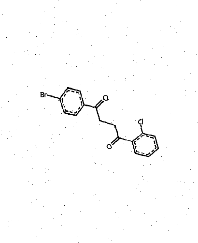 O=C(CCC(=O)c1ccccc1Cl)c1ccc(Br)cc1